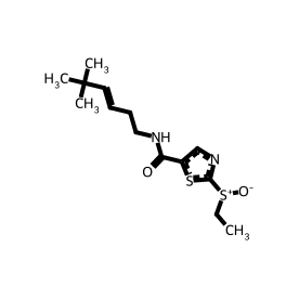 CC[S+]([O-])c1ncc(C(=O)NCC/C=C/C(C)(C)C)s1